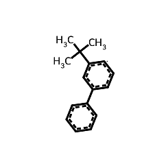 CC(C)(C)c1[c]ccc(-c2ccccc2)c1